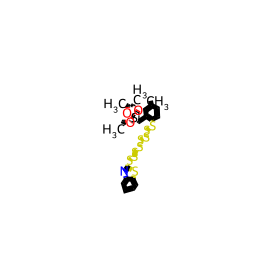 CCO[Si](Cc1cc(C)ccc1SSSSSSSSc1nc2ccccc2s1)(OCC)OCC